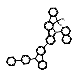 CC1(C)c2ccccc2-c2ccc3c4cc(-c5ccc6c(c5)-c5ccccc5C6c5ccc(-c6ccccc6)cc5)ccc4n(-c4cccc5ccccc45)c3c21